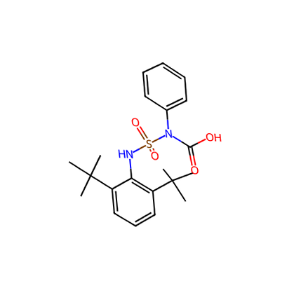 CC(C)(C)c1cccc(C(C)(C)C)c1NS(=O)(=O)N(C(=O)O)c1ccccc1